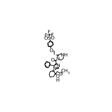 COC[C@]1(O)CCCC[C@H]1n1cnc(C(=O)N2CCNC[C@H]2CCOc2ccc(S(=O)(=O)C(F)(F)F)cc2)c1-c1ccccc1